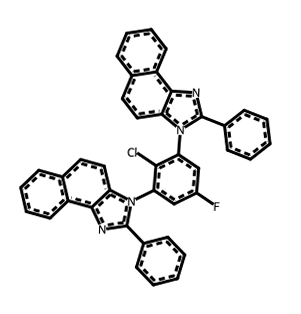 Fc1cc(-n2c(-c3ccccc3)nc3c4ccccc4ccc32)c(Cl)c(-n2c(-c3ccccc3)nc3c4ccccc4ccc32)c1